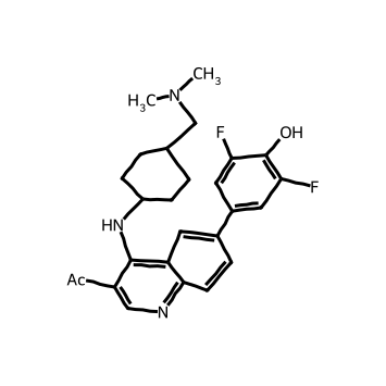 CC(=O)c1cnc2ccc(-c3cc(F)c(O)c(F)c3)cc2c1NC1CCC(CN(C)C)CC1